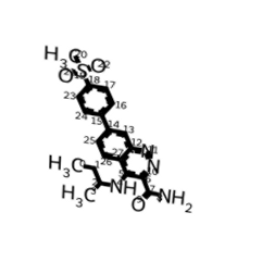 CCC(C)Nc1c(C(N)=O)nnc2cc(-c3ccc(S(C)(=O)=O)cc3)ccc12